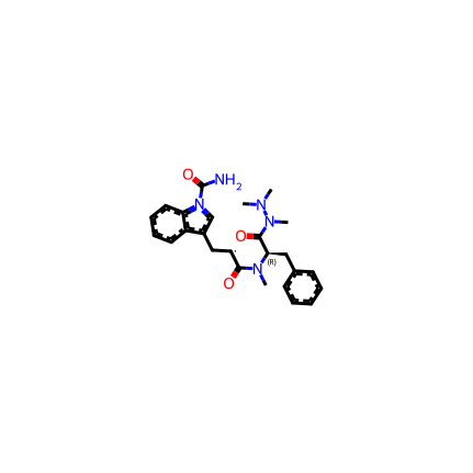 CN(C(=O)[CH]Cc1cn(C(N)=O)c2ccccc12)[C@H](Cc1ccccc1)C(=O)N(C)N(C)C